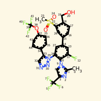 Cc1nc(C(F)(F)F)cn1-c1c(F)cc(-c2ccc(CO)c(S(C)(=O)=O)c2)cc1-n1nncc1-c1ccc(OC(F)(F)F)cc1